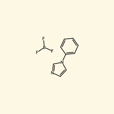 FB(F)F.c1ccc(-n2ccnc2)cc1